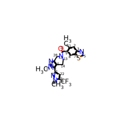 Cc1cc2ncsc2cc1C(=O)N1CCc2c(nn(C)c2-c2cc(C(F)(F)F)n(C)n2)C1